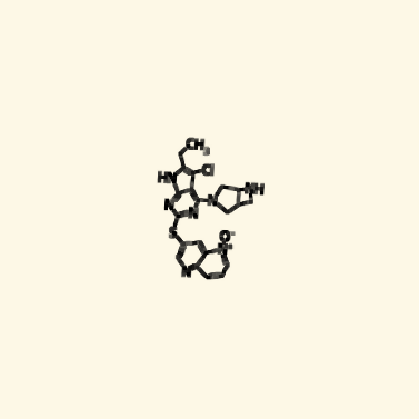 CCc1[nH]c2nc(Sc3cnc4ccc[n+]([O-])c4c3)nc(N3CC4CNC4C3)c2c1Cl